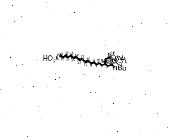 CCCCC(CC)CC(CCCCCCCCCCCCCCCCC(=O)O)C(CC)(CC(CC)CCCC)C(=O)O